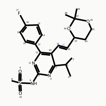 CC(C)c1nc(NS(C)(=O)=O)nc(-c2ccc(F)cc2)c1/C=C/C1CCOC(C)(C)O1